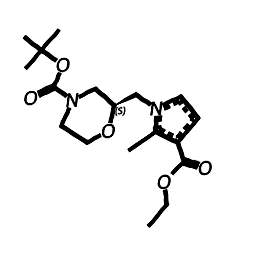 CCOC(=O)c1ccn(C[C@@H]2CN(C(=O)OC(C)(C)C)CCO2)c1C